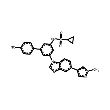 Cn1cc(-c2ccc3c(c2)ncn3-c2cc(NS(=O)(=O)C3CC3)cc(-c3ccc(C#N)cc3)c2)cn1